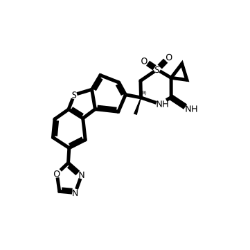 C[C@@]1(c2ccc3sc4ccc(-c5nnco5)cc4c3c2)CS(=O)(=O)C2(CC2)C(=N)N1